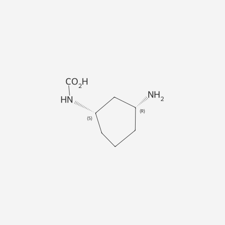 N[C@@H]1CCC[C@H](NC(=O)O)C1